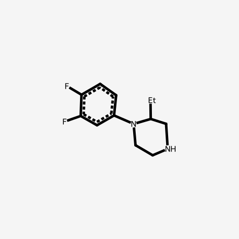 CCC1CNCCN1c1ccc(F)c(F)c1